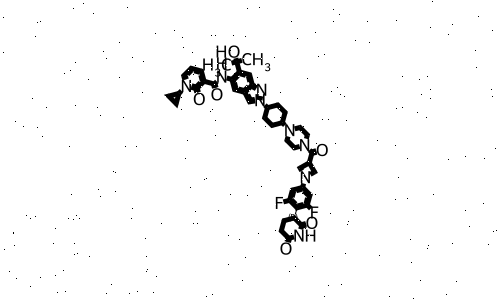 CC(C)(O)c1cc2nn(C3CCC(N4CCN(C(=O)C5CN(c6cc(F)c([C@H]7CCC(=O)NC7=O)c(F)c6)C5)CC4)CC3)cc2cc1NC(=O)c1cccn(C2CC2)c1=O